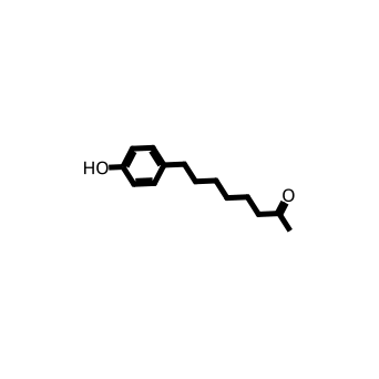 CC(=O)CCCCCCc1ccc(O)cc1